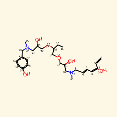 C=C/C(O)=C\C=C\CN(C)CC(O)COCC(CC)OCC(O)CN(C)Cc1ccc(O)cc1